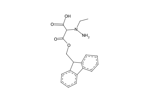 CCN(N)C(C(=O)O)C(=O)OCC1c2ccccc2-c2ccccc21